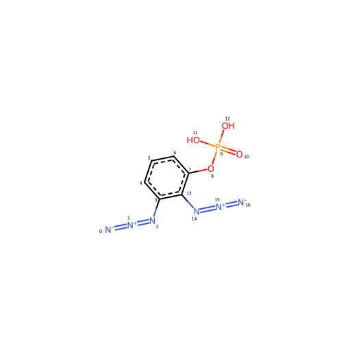 [N-]=[N+]=Nc1cccc(OP(=O)(O)O)c1N=[N+]=[N-]